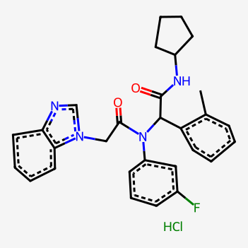 Cc1ccccc1C(C(=O)NC1CCCC1)N(C(=O)Cn1cnc2ccccc21)c1cccc(F)c1.Cl